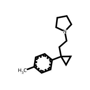 Cc1ccc(C2(CCN3CCCC3)CC2)cc1